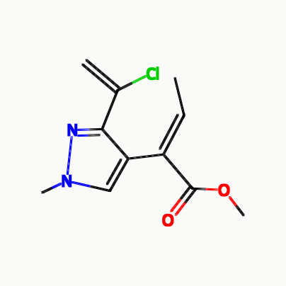 C=C(Cl)c1nn(C)cc1/C(=C\C)C(=O)OC